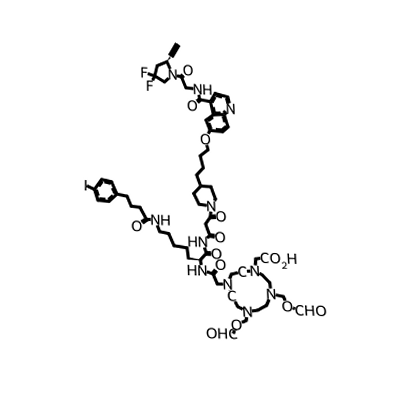 C#C[C@H]1CC(F)(F)CN1C(=O)CNC(=O)c1ccnc2ccc(OCCCCC3CCN(C(=O)CC(=O)NC(=O)[C@H](CCCCCNC(=O)CCCc4ccc(I)cc4)NC(=O)CN4CCN(COC=O)CCN(COC=O)CCN(CC(=O)O)CC4)CC3)cc12